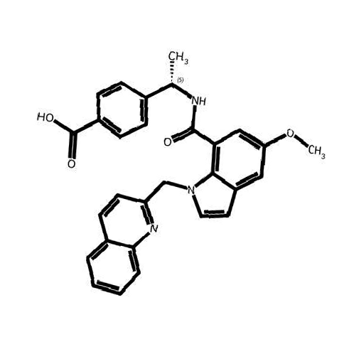 COc1cc(C(=O)N[C@@H](C)c2ccc(C(=O)O)cc2)c2c(ccn2Cc2ccc3ccccc3n2)c1